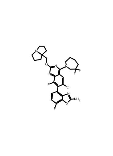 Nc1nc2c(-c3c(Cl)cc4c(N5CCCCC(F)(F)C5)nc(OCC56CCCN5CCC6)nc4c3F)ccc(F)c2s1